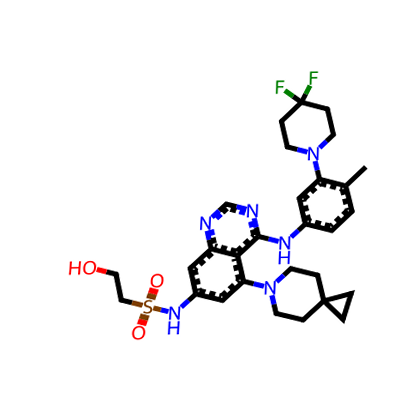 Cc1ccc(Nc2ncnc3cc(NS(=O)(=O)CCO)cc(N4CCC5(CC4)CC5)c23)cc1N1CCC(F)(F)CC1